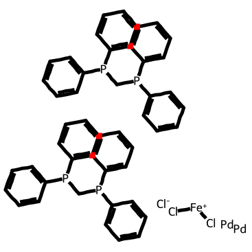 [Cl-].[Cl][Fe+][Cl].[Pd].[Pd].c1ccc(P(CP(c2ccccc2)c2ccccc2)c2ccccc2)cc1.c1ccc(P(CP(c2ccccc2)c2ccccc2)c2ccccc2)cc1